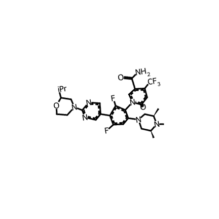 CC(C)C1CN(c2ncc(-c3c(F)cc(N4C[C@@H](C)N(C)[C@@H](C)C4)c(-n4cc(C(N)=O)c(C(F)(F)F)cc4=O)c3F)cn2)CCO1